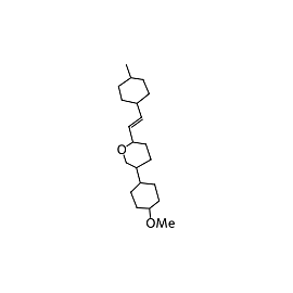 COC1CCC(C2CCC(/C=C/C3CCC(C)CC3)OC2)CC1